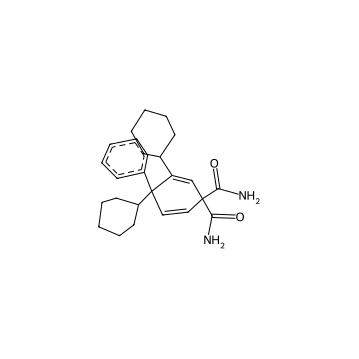 NC(=O)C1(C(N)=O)C=CC(c2ccccc2)(C2CCCCC2)C(C2CCCCC2)=C1